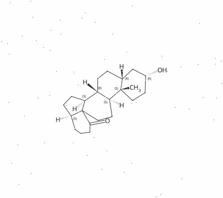 C[C@]12CC[C@@H](O)C[C@H]1CC[C@H]1[C@@H]3CC[C@@H]4CCCC(=O)C43CC[C@@H]12